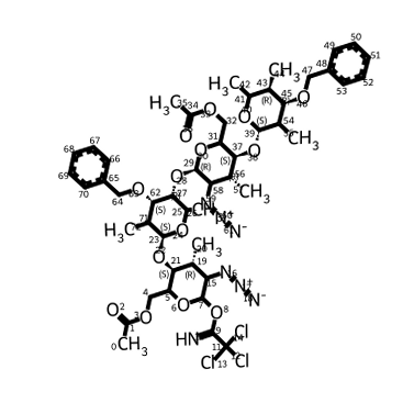 CC(=O)OCC1OC(OC(=N)C(Cl)(Cl)Cl)C(N=[N+]=[N-])[C@@H](C)[C@@H]1O[C@@H]1OC(C)[C@@H](O[C@H]2OC(COC(C)=O)[C@@H](O[C@@H]3OC(C)[C@@H](C)[C@@H](OCc4ccccc4)C3C)[C@H](C)C2N=[N+]=[N-])[C@@H](OCc2ccccc2)C1C